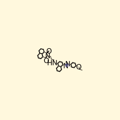 CCOc1ccc(/N=N/c2ccc(NCCCN3C(=O)c4cccc5cccc(c45)C3=O)c3ccccc23)cc1